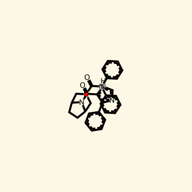 O=C(N1CC2CCC(C1)N2C(=O)c1[nH]cnc1-c1ccccc1)N(c1ccccc1)c1ccccc1